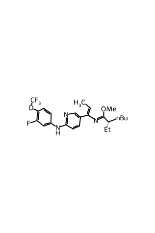 C/C=C(/N=C(\OC)[C@@H](CC)CCCC)c1ccc(Nc2ccc(OC(F)(F)F)c(F)c2)nc1